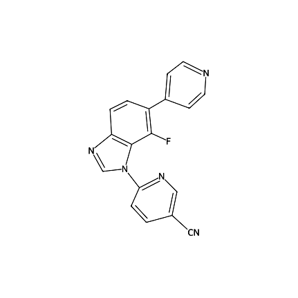 N#Cc1ccc(-n2cnc3ccc(-c4ccncc4)c(F)c32)nc1